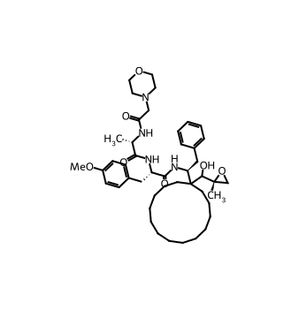 COc1ccc(C[C@H](NC(=O)[C@H](C)NC(=O)CN2CCOCC2)C(=O)N[C@@H](Cc2ccccc2)C2(C(O)[C@@]3(C)CO3)CCCCCCCCCCCCC2)cc1